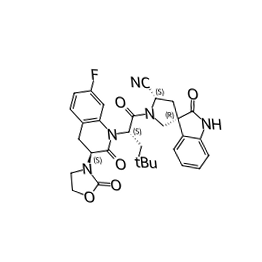 CC(C)(C)C[C@@H](C(=O)N1C[C@]2(C[C@H]1C#N)C(=O)Nc1ccccc12)N1C(=O)[C@@H](N2CCOC2=O)Cc2ccc(F)cc21